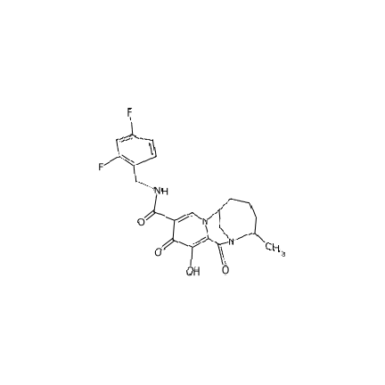 CC1CCCC2CN1C(=O)c1c(O)c(=O)c(C(=O)NCc3ccc(F)cc3F)cn12